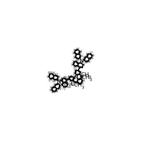 CC1(C)c2cc(C3=CCC(N(c4ccc5ccccc5c4)c4ccc5ccccc5c4)c4ccccc43)ccc2N2c3ccc(-c4ccc(N(c5ccc6ccccc6c5)c5ccc6ccccc6c5)c5ccccc45)cc3C(C)(C)c3cccc1c32